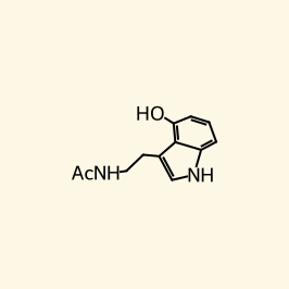 CC(=O)NCCc1c[nH]c2cccc(O)c12